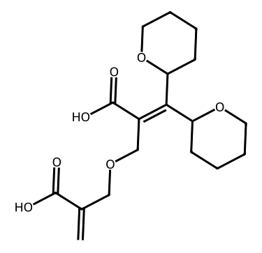 C=C(COCC(C(=O)O)=C(C1CCCCO1)C1CCCCO1)C(=O)O